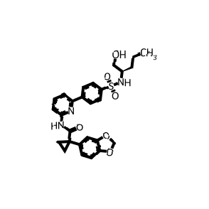 CCC[C@H](CO)NS(=O)(=O)c1ccc(-c2cccc(NC(=O)C3(c4ccc5c(c4)OCO5)CC3)n2)cc1